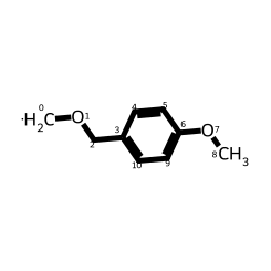 [CH2]OCc1ccc(OC)cc1